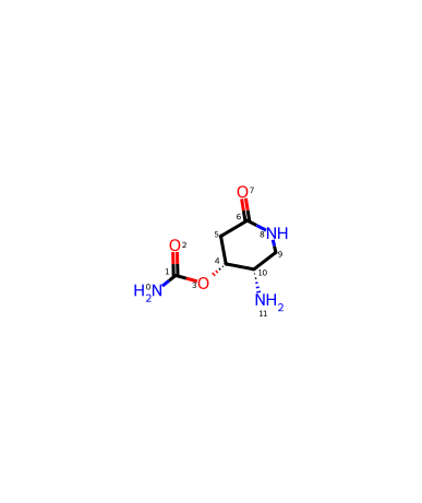 NC(=O)O[C@@H]1CC(=O)NC[C@@H]1N